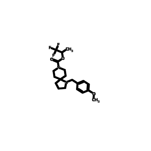 COc1ccc(CN2CCCC23CCN(C(=O)OC(C)C(F)(F)F)CC3)cc1